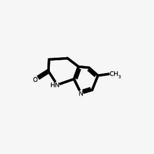 Cc1cnc2c(c1)CCC(=O)N2